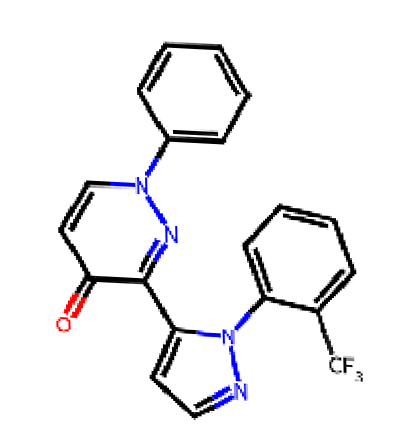 O=c1ccn(-c2ccccc2)nc1-c1ccnn1-c1ccccc1C(F)(F)F